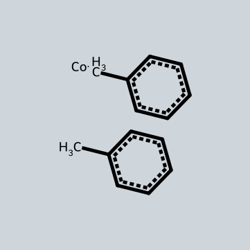 Cc1ccccc1.Cc1ccccc1.[Co]